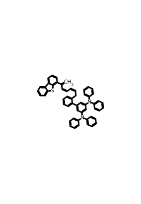 C=C(/C=C\C=C/Cc1ccccc1-c1cc(N(c2ccccc2)c2ccccc2)cc(N(c2ccccc2)c2ccccc2)c1)c1cccc2c1sc1ccccc12